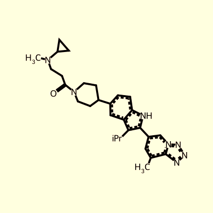 Cc1cc(-c2[nH]c3ccc(C4CCN(C(=O)CCN(C)C5CC5)CC4)cc3c2C(C)C)cn2nnnc12